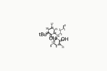 C=CCCC(c1cc(C)cc(C)c1O)c1cc(C)cc(C(C)(C)C)c1O